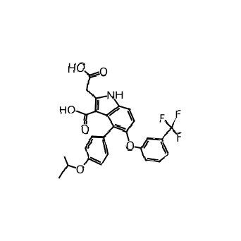 CC(C)Oc1ccc(-c2c(Oc3cccc(C(F)(F)F)c3)ccc3[nH]c(CC(=O)O)c(C(=O)O)c23)cc1